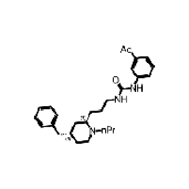 CCCN1CC[C@H](Cc2ccccc2)C[C@H]1CCCNC(=O)Nc1cccc(C(C)=O)c1